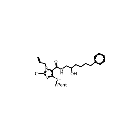 C=CCn1c(Cl)nc(NCCCCC)c1C(=O)NCC(O)CCCCc1ccccc1